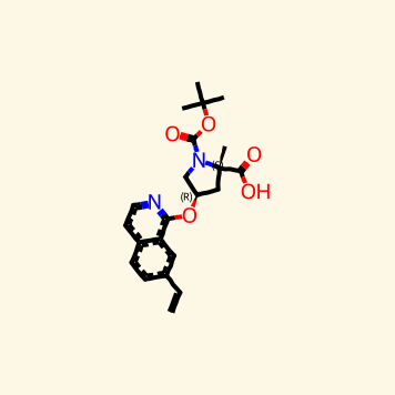 C=Cc1ccc2ccnc(O[C@H]3CN(C(=O)OC(C)(C)C)[C@](C)(C(=O)O)C3)c2c1